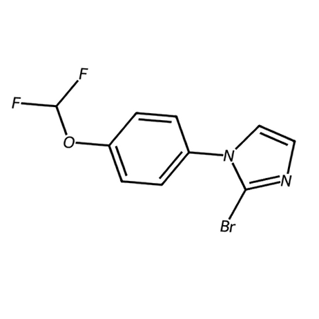 FC(F)Oc1ccc(-n2ccnc2Br)cc1